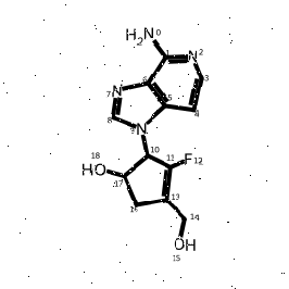 Nc1nccc2c1ncn2C1C(F)=C(CO)CC1O